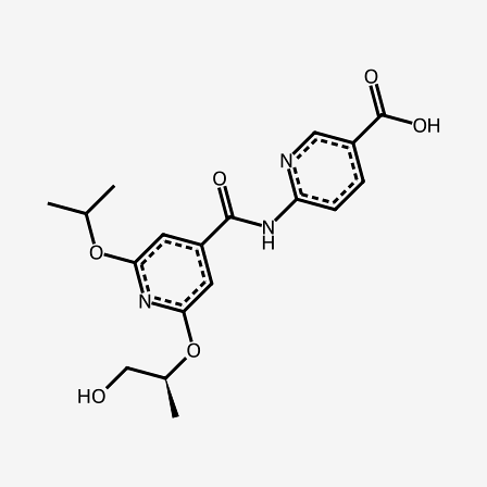 CC(C)Oc1cc(C(=O)Nc2ccc(C(=O)O)cn2)cc(O[C@@H](C)CO)n1